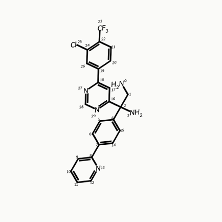 NCC(N)(c1ccc(-c2ccccn2)cc1)c1cc(-c2ccc(C(F)(F)F)c(Cl)c2)ncn1